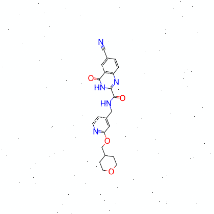 N#Cc1ccc2nc(C(=O)NCc3ccnc(OCC4CCOCC4)c3)[nH]c(=O)c2c1